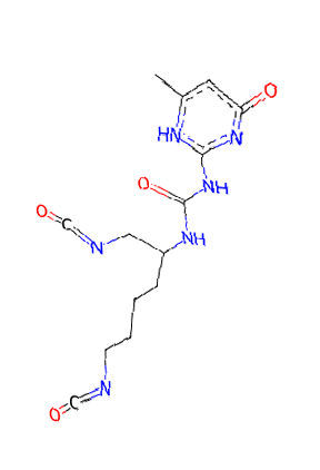 Cc1cc(=O)nc(NC(=O)NC(CCCCN=C=O)CN=C=O)[nH]1